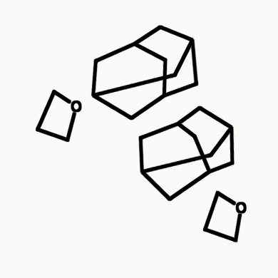 C1C2CC3CC1CC(C2)C3.C1C2CC3CC1CC(C2)C3.C1COC1.C1COC1